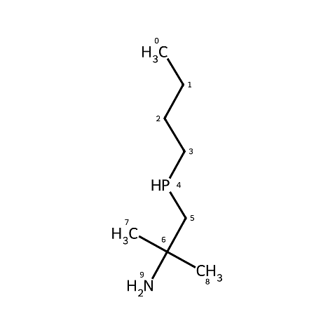 CCCCPCC(C)(C)N